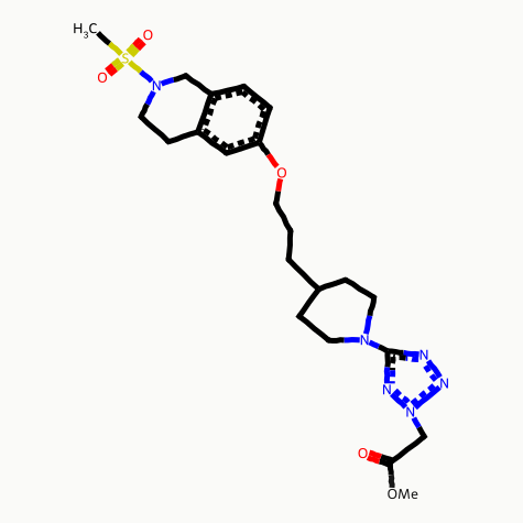 COC(=O)Cn1nnc(N2CCC(CCCOc3ccc4c(c3)CCN(S(C)(=O)=O)C4)CC2)n1